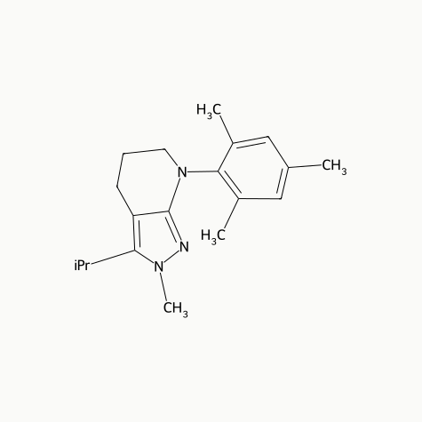 Cc1cc(C)c(N2CCCc3c2nn(C)c3C(C)C)c(C)c1